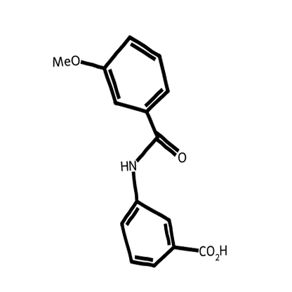 COc1cccc(C(=O)Nc2cccc(C(=O)O)c2)c1